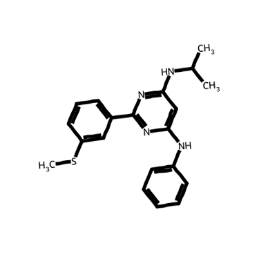 CSc1cccc(-c2nc(Nc3ccccc3)cc(NC(C)C)n2)c1